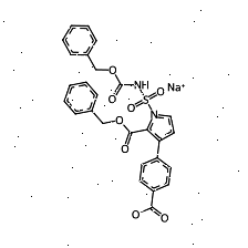 O=C(NS(=O)(=O)n1ccc(-c2ccc(C(=O)[O-])cc2)c1C(=O)OCc1ccccc1)OCc1ccccc1.[Na+]